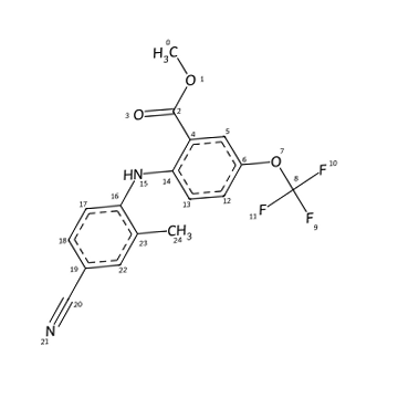 COC(=O)c1cc(OC(F)(F)F)ccc1Nc1ccc(C#N)cc1C